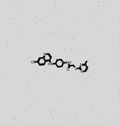 Cc1ccnc(SCC(=O)NC2CCC(Nc3ccnc4cc(Cl)ccc34)CC2)n1